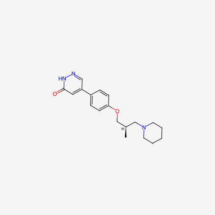 C[C@@H](COc1ccc(-c2cn[nH]c(=O)c2)cc1)CN1CCCCC1